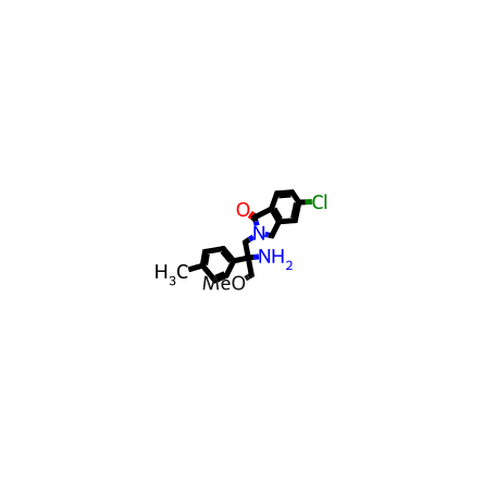 COCC(N)(CN1Cc2cc(Cl)ccc2C1=O)c1ccc(C)cc1